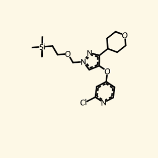 C[Si](C)(C)CCOCn1cc(Oc2ccnc(Cl)c2)c(C2CCOCC2)n1